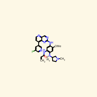 C=CC(=O)Nc1cc(Nc2ncc3nccc(-c4cncc(F)c4)c3n2)c(OC)cc1N(C)C1CCN(C)C1